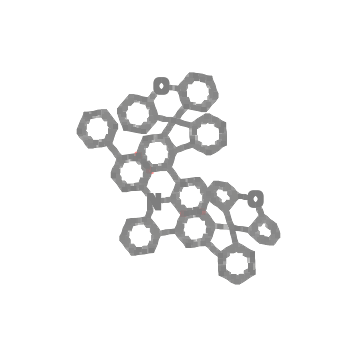 c1ccc(-c2ccc(N(c3ccccc3-c3ccc4c(c3)-c3ccccc3C43c4ccccc4Oc4ccccc43)c3ccccc3-c3cccc4c3-c3ccccc3C43c4ccccc4Oc4ccccc43)cc2)cc1